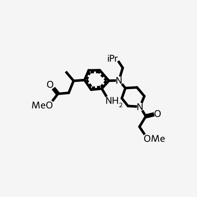 COCC(=O)N1CCC(N(CC(C)C)c2ccc(C(C)CC(=O)OC)cc2N)CC1